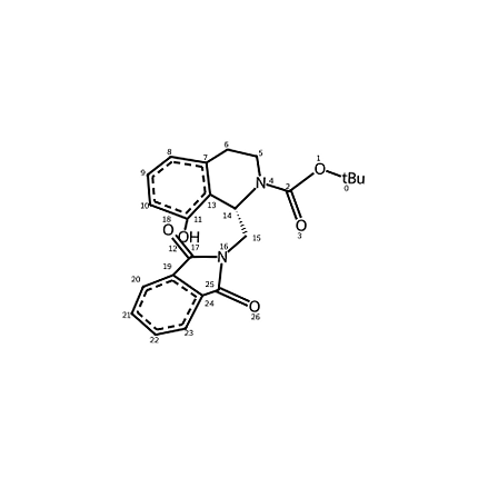 CC(C)(C)OC(=O)N1CCc2cccc(O)c2[C@H]1CN1C(=O)c2ccccc2C1=O